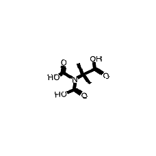 CC(C)(C(=O)O)N(C(=O)O)C(=O)O